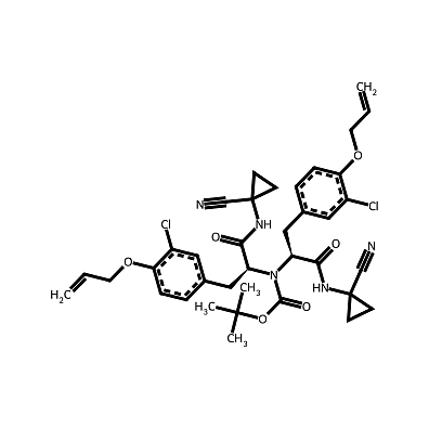 C=CCOc1ccc(C[C@@H](C(=O)NC2(C#N)CC2)N(C(=O)OC(C)(C)C)[C@@H](Cc2ccc(OCC=C)c(Cl)c2)C(=O)NC2(C#N)CC2)cc1Cl